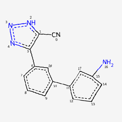 N#Cc1[nH]nnc1-c1cccc(-c2cccc(N)c2)c1